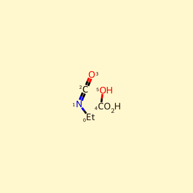 CCN=C=O.O=C(O)O